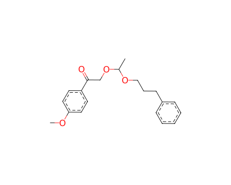 COc1ccc(C(=O)COC(C)OCCCc2ccccc2)cc1